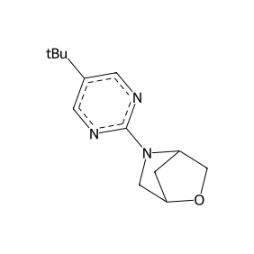 CC(C)(C)c1cnc(N2CC3CC2CO3)nc1